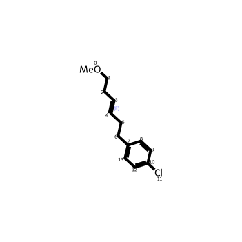 [CH2]OCC/C=C/CCc1ccc(Cl)cc1